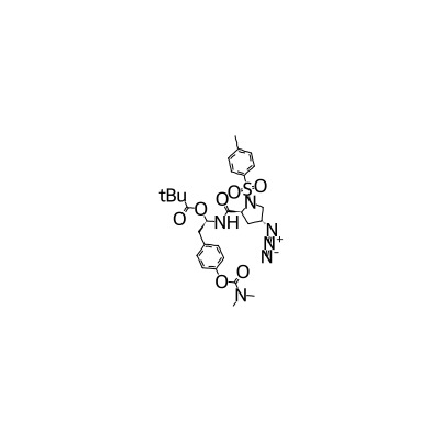 Cc1ccc(S(=O)(=O)N2C[C@H](N=[N+]=[N-])C[C@H]2C(=O)N[C@@H](Cc2ccc(OC(=O)N(C)C)cc2)OC(=O)C(C)(C)C)cc1